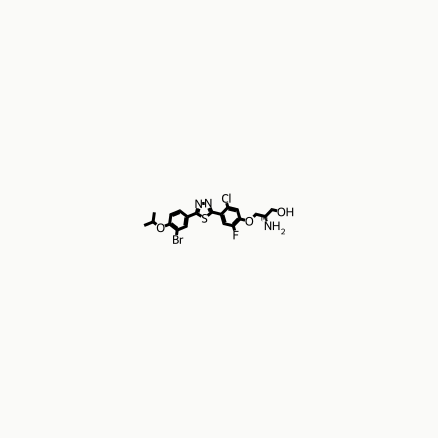 CC(C)Oc1ccc(-c2nnc(-c3cc(F)c(OC[C@H](N)CO)cc3Cl)s2)cc1Br